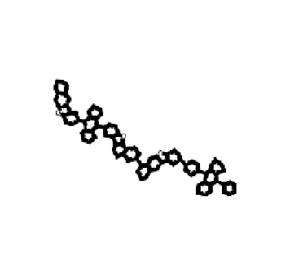 c1ccc(-c2c3ccccc3c(-c3ccc(-c4ccc5oc6cc7c(-c8ccc9c(ccc%10c%11cc(-c%12c%13ccccc%13c(-c%13ccc%14oc%15cc%16ccccc%16cc%15c%14c%13)c%13ccccc%12%13)ccc%11oc9%10)c8)cccc7cc6c5c4)cc3)c3ccccc23)cc1